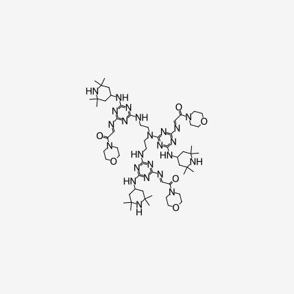 CC1(C)CC(Nc2nc(N=CC(=O)N3CCOCC3)nc(NCCN(CCNc3nc(N=CC(=O)N4CCOCC4)nc(NC4CC(C)(C)NC(C)(C)C4)n3)c3nc(N=CC(=O)N4CCOCC4)nc(NC4CC(C)(C)NC(C)(C)C4)n3)n2)CC(C)(C)N1